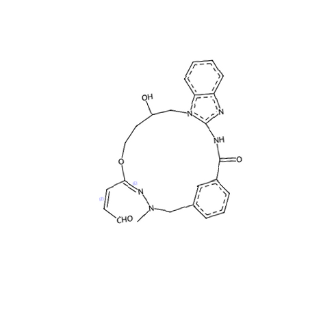 CN1Cc2cccc(c2)C(=O)Nc2nc3ccccc3n2CC(O)CCOC(/C=C\C=O)=N/1